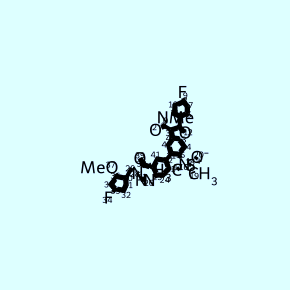 CNC(=O)c1c(-c2ccc(F)cc2)oc2cc(N(C)[S+](C)[O-])c(-c3ccc4nnn(Cc5ccc(F)cc5OC)c(=O)c4c3)cc12